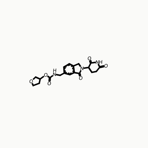 O=C1CCC(N2Cc3ccc(CNC(=O)OC4CCOC4)cc3C2=O)C(=O)N1